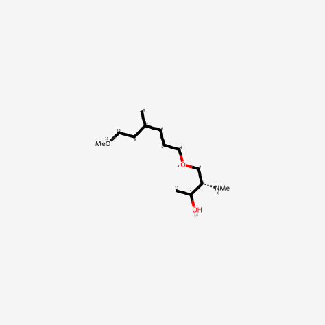 CN[C@@H](COCCCC(C)CCOC)C(C)O